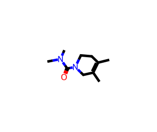 CC1=C(C)CN(C(=O)N(C)C)CC1